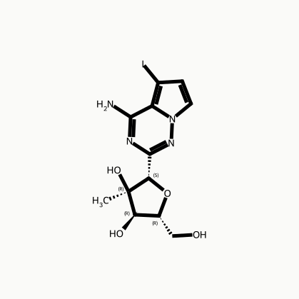 C[C@@]1(O)[C@H](O)[C@@H](CO)O[C@H]1c1nc(N)c2c(I)ccn2n1